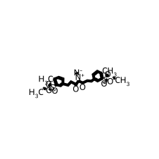 CCOS(=O)(=O)c1cc(CCC(=O)C(=[N+]=[N-])C(=O)CCc2ccc(C)c(S(=O)(=O)OCC)c2)ccc1C